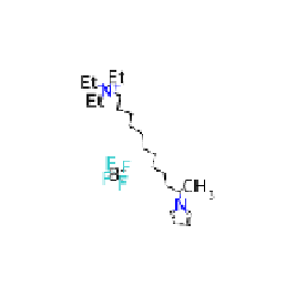 CC[N+](CC)(CC)CCCCCCCCCCC(C)n1cccc1.F[B-](F)(F)F